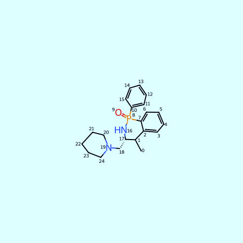 CC1c2ccccc2P(=O)(c2ccccc2)N[C@H]1CN1CCCCC1